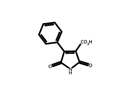 O=C(O)C1=C(c2ccccc2)C(=O)NC1=O